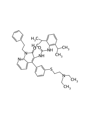 CCN(CC)CCSc1cccc(-c2c(NC(=O)Nc3c(C(C)C)cccc3C(C)C)c(=O)n(CCc3ccccc3)c3ncccc23)c1